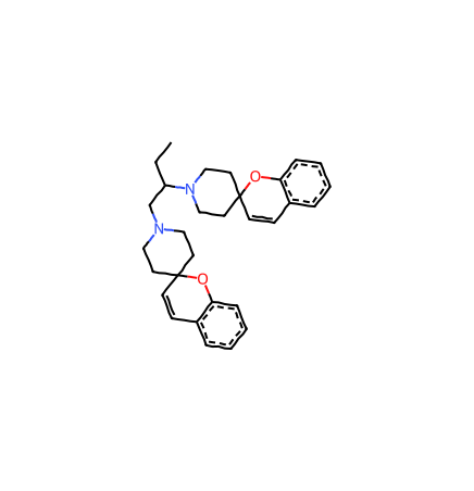 CCC(CN1CCC2(C=Cc3ccccc3O2)CC1)N1CCC2(C=Cc3ccccc3O2)CC1